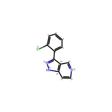 Clc1ccccc1-c1n[nH]c2ccncc12